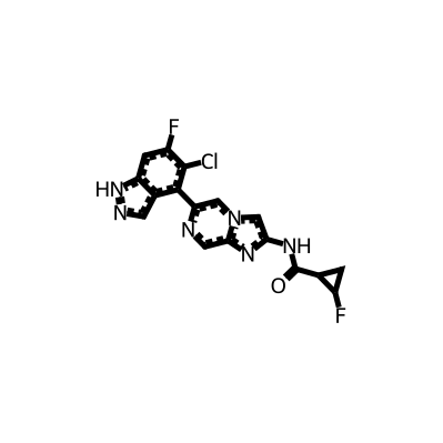 O=C(Nc1cn2cc(-c3c(Cl)c(F)cc4[nH]ncc34)ncc2n1)C1CC1F